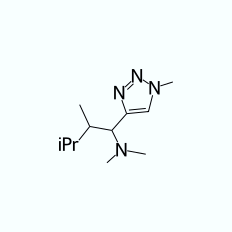 CC(C)C(C)C(c1cn(C)nn1)N(C)C